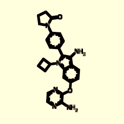 Nc1nccnc1Oc1ccc2c(N)c(-c3ccc(N4CCCC4=O)cc3)n(C3CCC3)c2c1